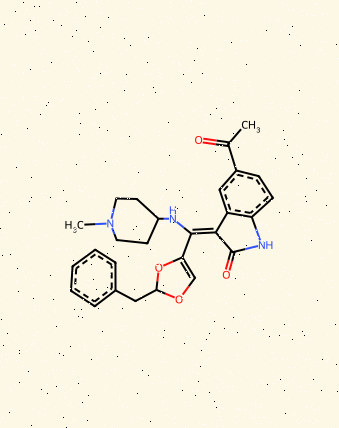 CC(=O)c1ccc2c(c1)C(=C(NC1CCN(C)CC1)C1=COC(Cc3ccccc3)O1)C(=O)N2